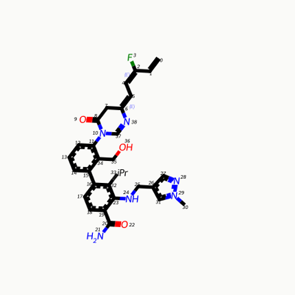 C=C/C(F)=C\C=C1/CC(=O)N(c2cccc(-c3ccc(C(N)=O)c(NCc4cnn(C)c4)c3C(C)C)c2CO)C=N1